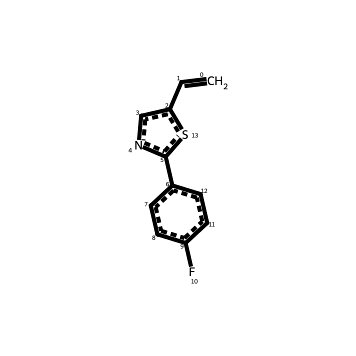 C=Cc1cnc(-c2ccc(F)cc2)s1